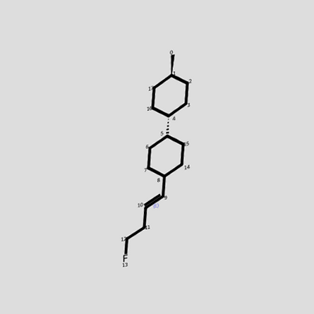 C[C@H]1CC[C@H](C2CCC(/C=C/CCF)CC2)CC1